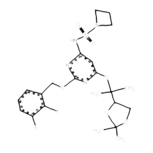 CC1(C)OCC(C(C)(C)Oc2cc(NS(=O)(=O)N3CCC3)nc(SCc3cccc(F)c3F)n2)O1